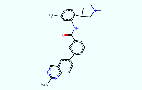 CNc1ncc2cc(-c3cccc(C(=O)Nc4cc(C(F)(F)F)ccc4C(C)(C)CN(C)C)c3)ccc2n1